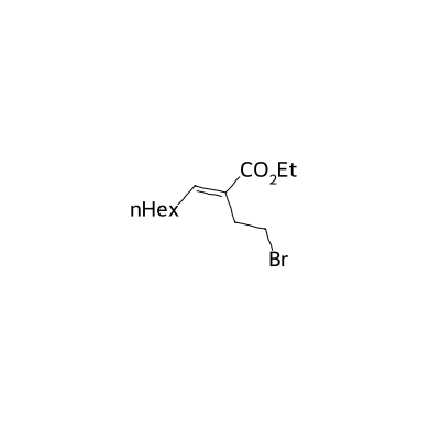 CCCCCCC=C(CCBr)C(=O)OCC